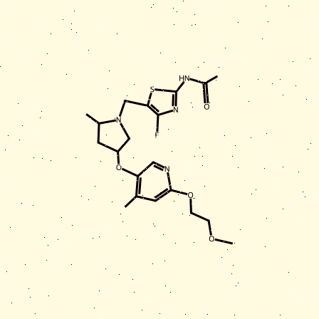 COCCOc1cc(C)c(OC2CC(C)N(Cc3sc(NC(C)=O)nc3F)C2)cn1